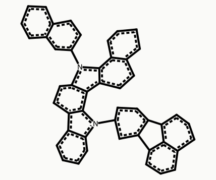 c1ccc2cc(-n3c4ccc5c6ccccc6n(-c6ccc7c(c6)-c6cccc8cccc-7c68)c5c4c4ccc5ccccc5c43)ccc2c1